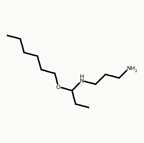 CCCCCCOC(CC)NCCCN